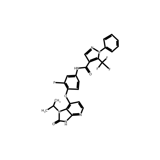 CC(C)n1c(=O)[nH]c2nccc(Oc3ccc(NC(=O)c4cnn(-c5ccccc5)c4C(F)(F)F)cc3F)c21